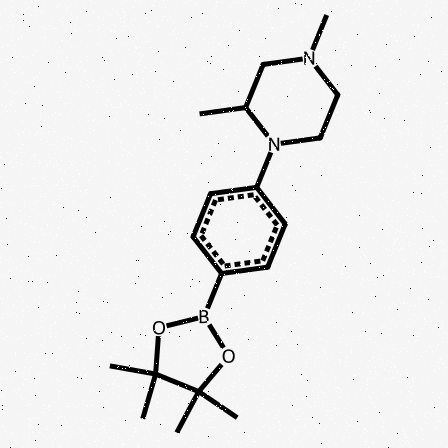 CC1CN(C)CCN1c1ccc(B2OC(C)(C)C(C)(C)O2)cc1